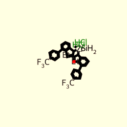 CCC1=Cc2c(-c3ccc(C(F)(F)F)cc3)cccc2[CH]1[Zr]([CH3])([CH3])(=[SiH2])[CH]1C(CC)=Cc2c(-c3ccc(C(F)(F)F)cc3)cccc21.Cl.Cl